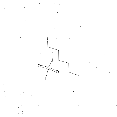 CCCCCCC.O=S(=O)(I)I